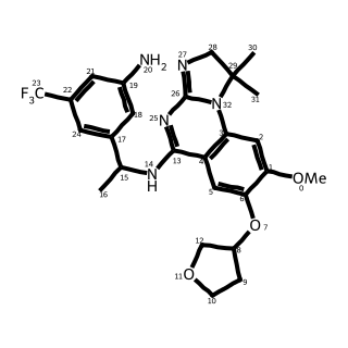 COc1cc2c(cc1OC1CCOC1)C(NC(C)c1cc(N)cc(C(F)(F)F)c1)=NC1=NCC(C)(C)N12